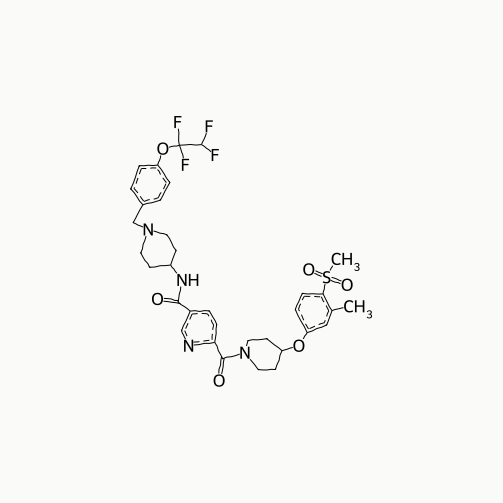 Cc1cc(OC2CCN(C(=O)c3ccc(C(=O)NC4CCN(Cc5ccc(OC(F)(F)C(F)F)cc5)CC4)cn3)CC2)ccc1S(C)(=O)=O